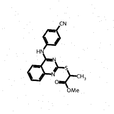 COC(=O)C(C)Sc1nc(Nc2ccc(C#N)cc2)c2ccccc2n1